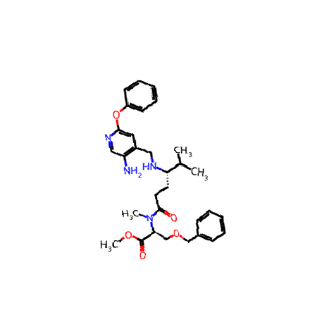 COC(=O)[C@H](COCc1ccccc1)N(C)C(=O)CC[C@H](NCc1cc(Oc2ccccc2)ncc1N)C(C)C